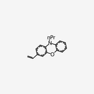 C=Cc1ccc2c(c1)Oc1ccccc1N2CCC